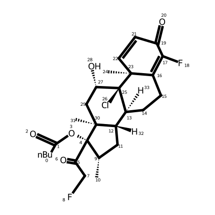 CCCCC(=O)O[C@@]1(C(=O)CF)[C@@H](C)C[C@H]2[C@@H]3CCC4=C(F)C(=O)C=C[C@]4(C)[C@@]3(Cl)[C@@H](O)C[C@@]21C